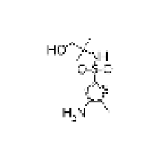 Cc1sc(S(=O)(=O)NC(C)(C)CO)cc1N